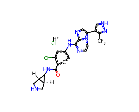 O=C(NC1[C@H]2CNC[C@@H]12)c1ccc(Nc2nccn3c(-c4c[nH]nc4C(F)(F)F)cnc23)cc1Cl.[Cl-].[H+]